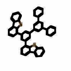 c1ccc(-c2cc(-c3ccccc3)cc(-c3cc(-c4cccc5c4sc4ccccc45)cc(-c4cccc5c4sc4ccccc45)c3)c2)cc1